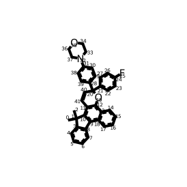 CC1(C)c2ccccc2-c2c1c1c(c3ccccc23)OC(c2ccc(F)cc2)(c2ccc(N3CCOCC3)cc2)C=C1